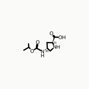 CC(C)OC(=O)N[C@H]1CN[C@H](C(=O)O)C1